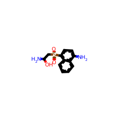 Nc1ccc(S(=O)(=O)CC(N)O)c2ccccc12